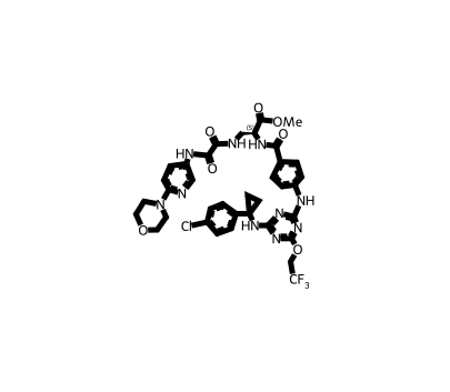 COC(=O)[C@H](CNC(=O)C(=O)Nc1ccc(N2CCOCC2)nc1)NC(=O)c1ccc(Nc2nc(NC3(c4ccc(Cl)cc4)CC3)nc(OCC(F)(F)F)n2)cc1